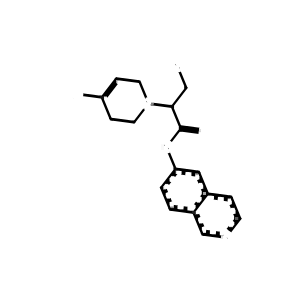 CC1=CCN(C(CN)C(=O)Nc2ccc3cnccc3c2)CC1